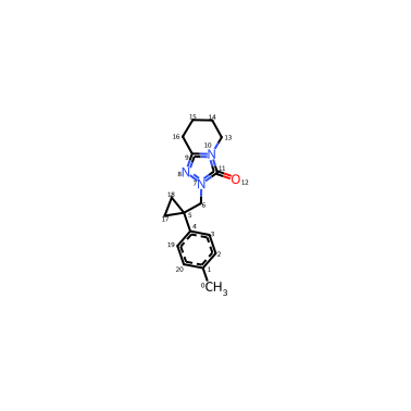 Cc1ccc(C2(Cn3nc4n(c3=O)CCCC4)CC2)cc1